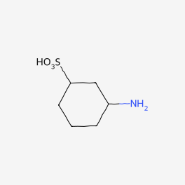 NC1CCCC(S(=O)(=O)O)C1